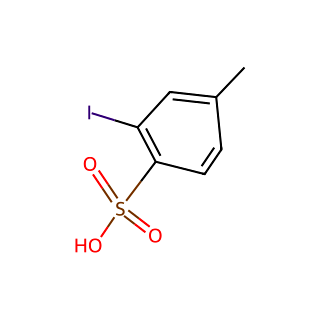 Cc1ccc(S(=O)(=O)O)c(I)c1